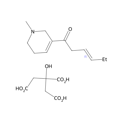 CC/C=C/CC(=O)C1=CCCN(C)C1.O=C(O)CC(O)(CC(=O)O)C(=O)O